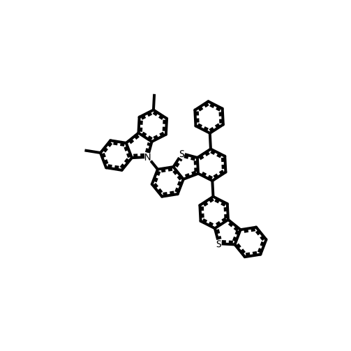 Cc1ccc2c(c1)c1cc(C)ccc1n2-c1cccc2c1sc1c(-c3ccccc3)ccc(-c3ccc4sc5ccccc5c4c3)c12